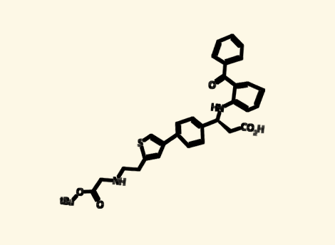 CC(C)(C)OC(=O)CNCCc1cc(-c2ccc([C@H](CC(=O)O)Nc3ccccc3C(=O)c3ccccc3)cc2)cs1